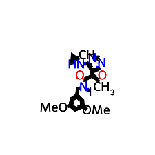 COc1cc(CN(I)C(=O)c2c(C)oc3ncnc(NC4(C)CC4)c23)cc(OC)c1